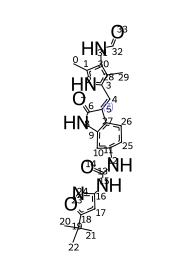 Cc1[nH]c(/C=C2\C(=O)Nc3cc(NC(=O)Nc4cc(C(C)(C)C)on4)ccc32)c(C)c1NC=O